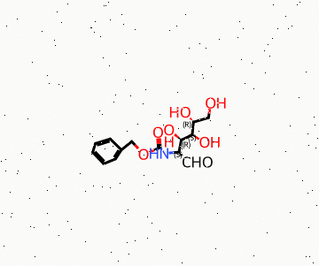 O=C[C@@H](NC(=O)OCc1ccccc1)[C@@H](O)[C@H](O)[C@H](O)CO